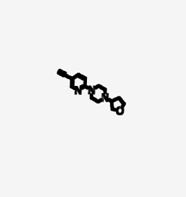 C#Cc1ccc(N2CCN(C3CCOC3)CC2)nc1